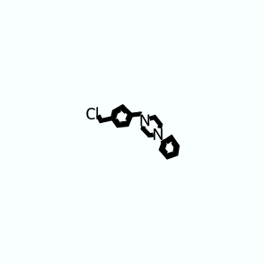 ClCc1ccc(CN2CCN(c3ccccc3)CC2)cc1